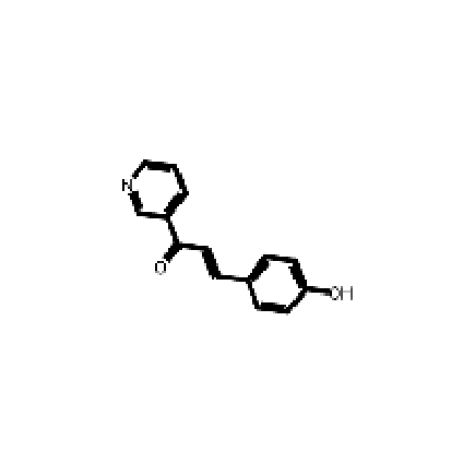 O=C(/C=C/c1ccc(O)cc1)c1cccnc1